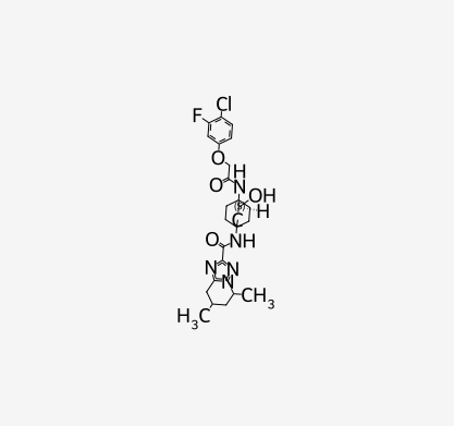 CC1Cc2nc(C(=O)NC34CCC(NC(=O)COc5ccc(Cl)c(F)c5)(CC3)[C@@H](O)C4)nn2C(C)C1